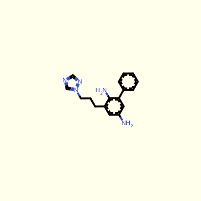 Nc1cc(CCCn2cncn2)c(N)c(-c2ccccc2)c1